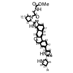 COC(=O)NCC(=O)N1C[C@@H](C)C[C@H]1c1nc2ccc3cc4c(cc3c2[nH]1)OCc1cc(-c2cnc([C@@H]3C[C@H](C)CN3)[nH]2)ccc1-4